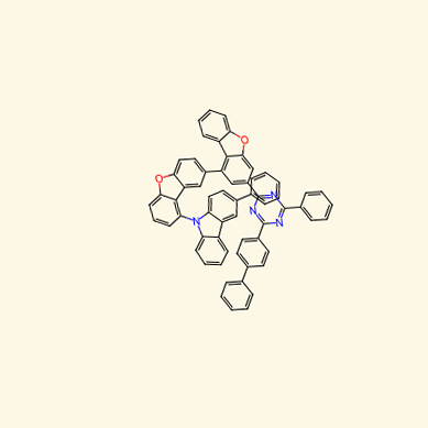 c1ccc(-c2ccc(-c3nc(-c4ccccc4)nc(-c4cc(-c5ccc6oc7cccc(-n8c9ccccc9c9cc(-c%10ccccc%10)ccc98)c7c6c5)c5c(c4)oc4ccccc45)n3)cc2)cc1